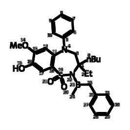 CCCCC1(CC)CN(c2ccccc2)c2cc(OC)c(O)cc2S(=O)(=O)N1B(C)Cc1ccccc1